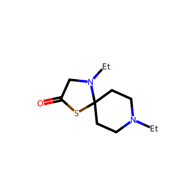 CCN1CCC2(CC1)SC(=O)CN2CC